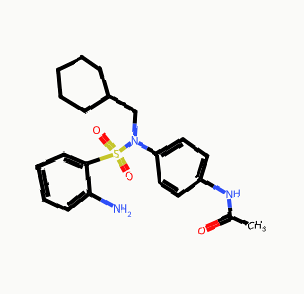 CC(=O)Nc1ccc(N(CC2CCCCC2)S(=O)(=O)c2ccccc2N)cc1